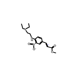 CCN(CC)CCNc1ccc(/C=C/C(=O)OC)cc1[N+](=O)[O-]